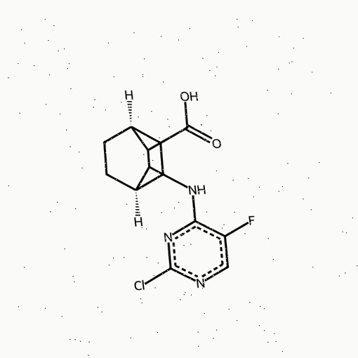 O=C(O)C1C(Nc2nc(Cl)ncc2F)[C@H]2CC[C@@H]1CC2